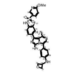 COc1ccc(S(=O)(=O)Nc2ccc(-c3nc(C(C)C)n4c(-c5ccc(NC6COC6)cc5)cnc(N)c34)cc2F)cn1